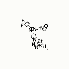 CCc1c(N)ncnc1N1CCC(c2nc(-c3ccc(F)c(F)c3)cn2CCN2CCCOC2)CC1